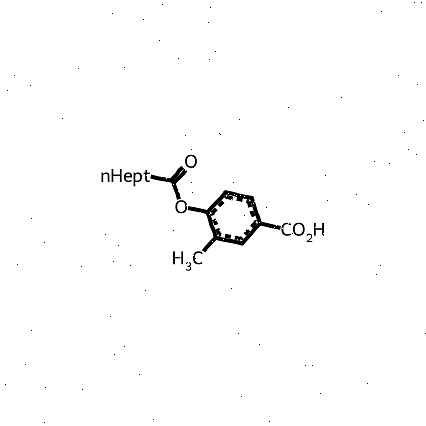 CCCCCCCC(=O)Oc1ccc(C(=O)O)cc1C